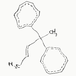 CC=CC(C)(c1ccccc1)c1ccccc1